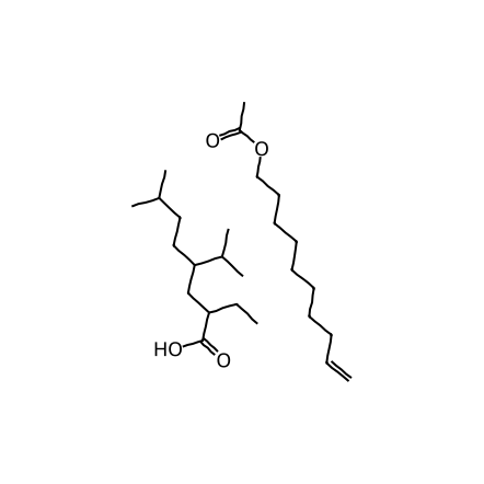 C=CCCCCCCCCOC(C)=O.CCC(CC(CCC(C)C)C(C)C)C(=O)O